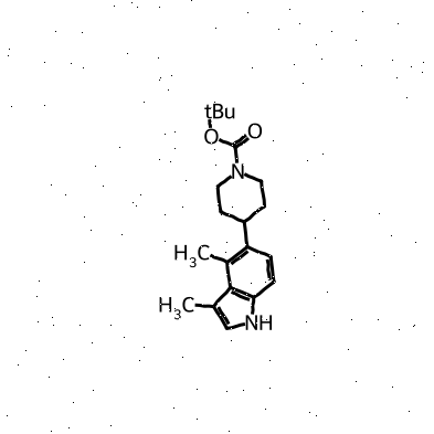 Cc1c[nH]c2ccc(C3CCN(C(=O)OC(C)(C)C)CC3)c(C)c12